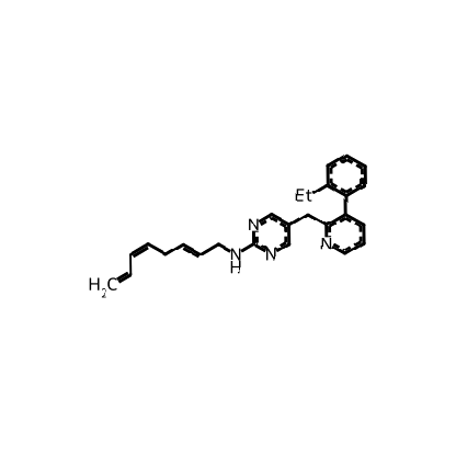 C=C/C=C\C/C=C/CNc1ncc(Cc2ncccc2-c2ccccc2CC)cn1